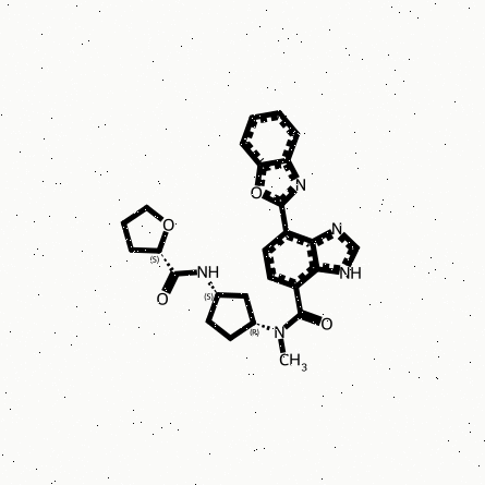 CN(C(=O)c1ccc(-c2nc3ccccc3o2)c2nc[nH]c12)[C@@H]1CC[C@H](NC(=O)[C@@H]2CCCO2)C1